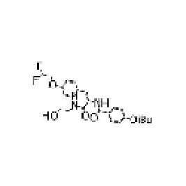 CC(C)COc1ccc(C(=O)NC(=Cc2ccc(OCC(F)F)cc2)C(=O)NCCO)cc1